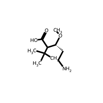 CO[C@H](CCN)C(C(=O)O)C(C)(C)C